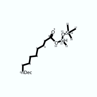 CCCCCCCCCCCCCCCCCC(=O)O[SiH](C)O[Si](C)(C)C